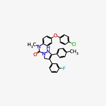 Cc1ccc(C2=C(c3cccc(F)c3)CN(C(=O)N(C)c3ccc(Oc4ccc(Cl)cc4)cc3)N2)cc1